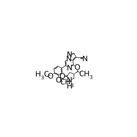 COc1ccc(-c2cn3ncc(C#N)c3c(OC(C)[C@H]3CNC(=O)C3)n2)cc1OC